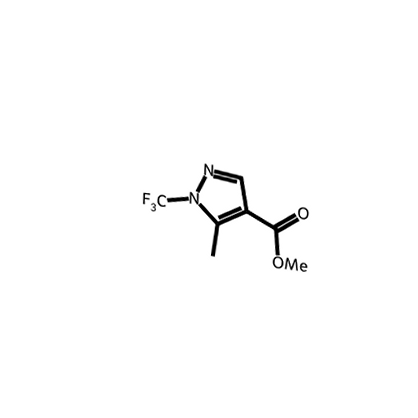 COC(=O)c1cnn(C(F)(F)F)c1C